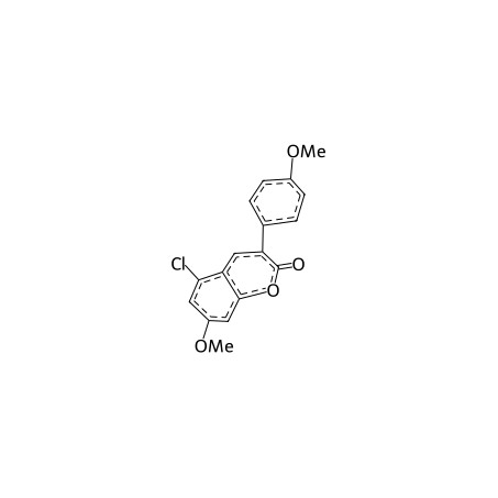 COc1ccc(-c2cc3c(Cl)cc(OC)cc3oc2=O)cc1